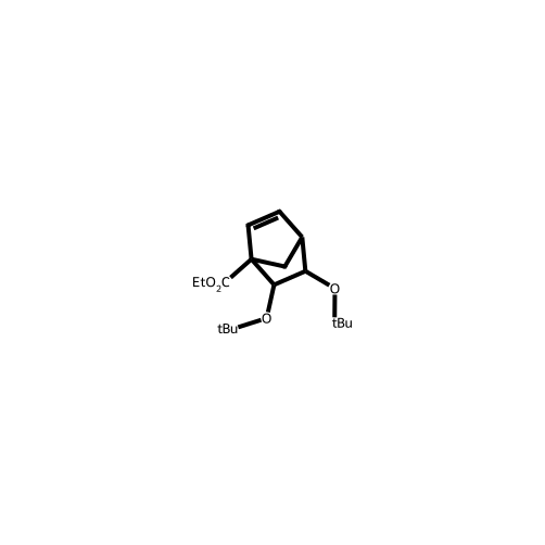 CCOC(=O)C12C=CC(C1)C(OC(C)(C)C)C2OC(C)(C)C